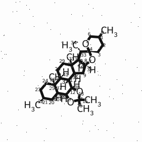 CC1CC[C@@]2(OC1)O[C@H]1C[C@H]3[C@@H]4[C@H]5OC(C)(C)O[C@@H]5[C@H]5C[C@@H](C)CC[C@]5(C)[C@H]4CC[C@]3(C)[C@H]1[C@@H]2C